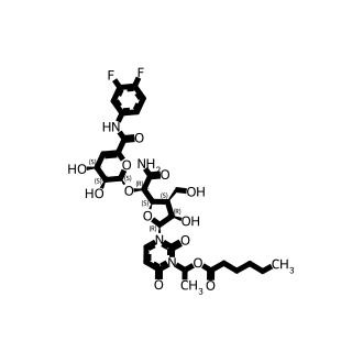 CCCCCC(=O)OC(C)n1c(=O)ccn([C@@H]2O[C@H]([C@@H](O[C@H]3OC(C(=O)Nc4ccc(F)c(F)c4)=C[C@H](O)[C@@H]3O)C(N)=O)[C@@H](CO)[C@H]2O)c1=O